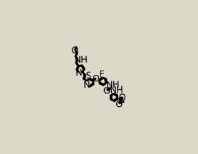 COCCNCc1ccc(-c2cc3nccc(Oc4ccc(NC(=O)Nc5cccc(S(C)(=O)=O)c5)cc4F)c3s2)nc1